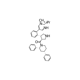 CC(C)CN(C)/C=C(\C=N)c1ccccc1[C@@H]1CNC[C@H]1C(=O)N1CC[C@H](c2ccccc2)C[C@@H]1c1ccccc1